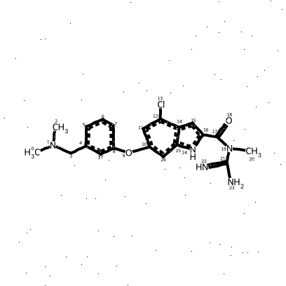 CN(C)Cc1cccc(Oc2cc(Cl)c3cc(C(=O)N(C)C(=N)N)[nH]c3c2)c1